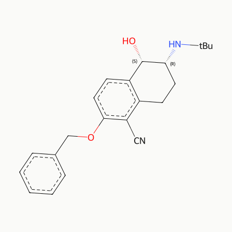 CC(C)(C)N[C@@H]1CCc2c(ccc(OCc3ccccc3)c2C#N)[C@@H]1O